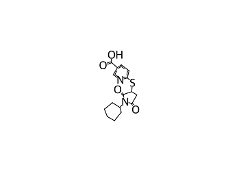 O=C(O)c1ccc(SC2CC(=O)N(C3CCCCC3)C2=O)nc1